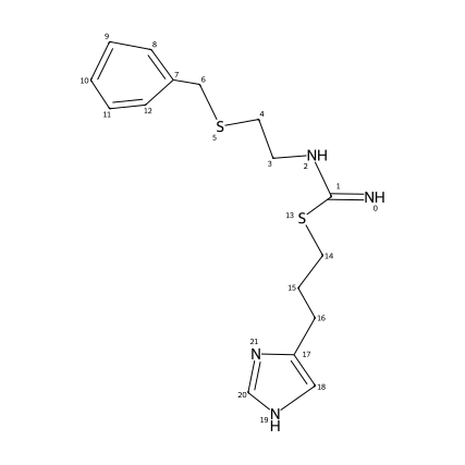 N=C(NCCSCc1ccccc1)SCCCc1c[nH]cn1